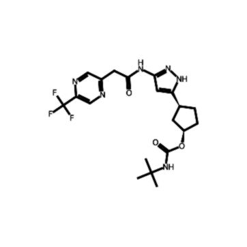 CC(C)(C)NC(=O)O[C@@H]1CC[C@H](c2cc(NC(=O)Cc3cnc(C(F)(F)F)cn3)n[nH]2)C1